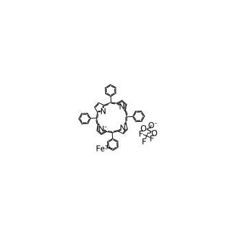 C1=Cc2nc1c(-c1ccccc1)c1ccc([n-]1)c(-c1ccccc1)c1nc(c(-c3ccccc3)c3ccc([n-]3)c2-c2ccccc2)C=C1.O=S(=O)([O-])C(F)(F)F.[Fe+3]